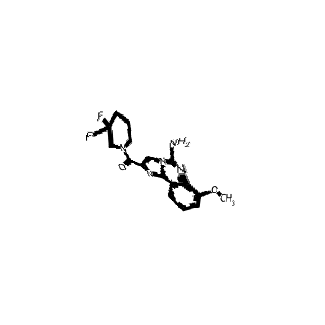 COc1cccc2c1nc(N)n1cc(C(=O)N3CCCC(F)(F)C3)nc21